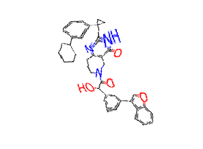 O=C(C(O)c1cccc(-c2coc3ccccc23)c1)N1CCCc2nc(C3(c4cccc(C5CCCCC5)c4)CC3)[nH]c(=O)c2C1